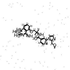 COCc1nccn1-c1cc(C(=O)NC(C)(C)COc2cccc3c2C(N)=NS(O)(O)N3)ccn1